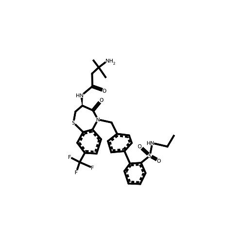 CCNS(=O)(=O)c1ccccc1-c1ccc(CN2C(=O)[C@H](NC(=O)CC(C)(C)N)CSc3cc(C(F)(F)F)ccc32)cc1